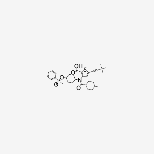 CC1CCC(C(=O)N(c2cc(C#CC(C)(C)C)sc2C(=O)O)C2CCC(OP(C)(=O)c3ccccc3)CC2)CC1